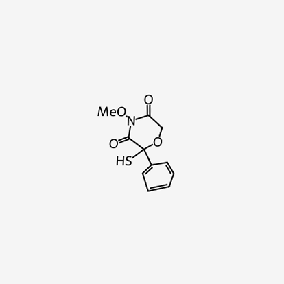 CON1C(=O)COC(S)(c2ccccc2)C1=O